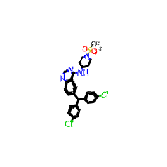 O=S(=O)(N1CCC(Nc2ncnc3ccc(C(c4ccc(Cl)cc4)c4ccc(Cl)cc4)cc23)CC1)C(F)(F)F